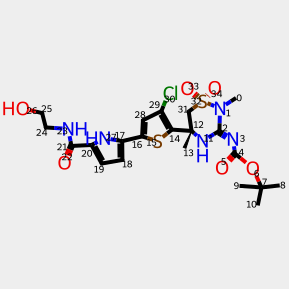 CN1/C(=N/C(=O)OC(C)(C)C)N[C@](C)(c2sc(-c3ccc(C(=O)NCCO)[nH]3)cc2Cl)CS1(=O)=O